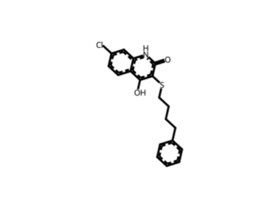 O=c1[nH]c2cc(Cl)ccc2c(O)c1SCCCCc1ccccc1